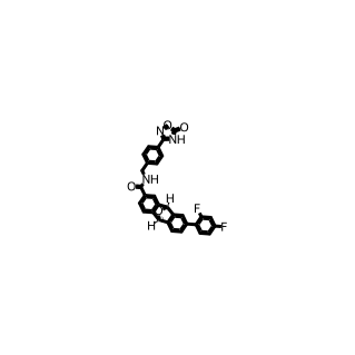 O=C(NCc1ccc(-c2noc(=O)[nH]2)cc1)c1ccc2c(c1)[C@@H]1O[C@H]2c2ccc(-c3ccc(F)cc3F)cc21